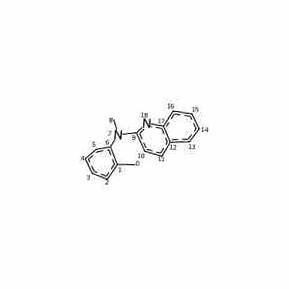 Cc1ccccc1N(C)c1ccc2ccccc2n1